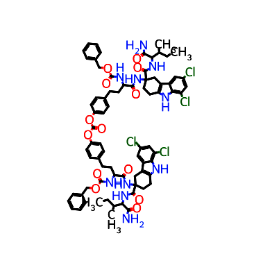 CCC(C)C(NC(=O)C1(NC(=O)C(CCc2ccc(OC(=O)Oc3ccc(CCC(NC(=O)OCc4ccccc4)C(=O)NC4(C(=O)NC(C(N)=O)C(C)CC)CCc5[nH]c6c(Cl)cc(Cl)cc6c5C4)cc3)cc2)NC(=O)OCc2ccccc2)CCc2[nH]c3c(Cl)cc(Cl)cc3c2C1)C(N)=O